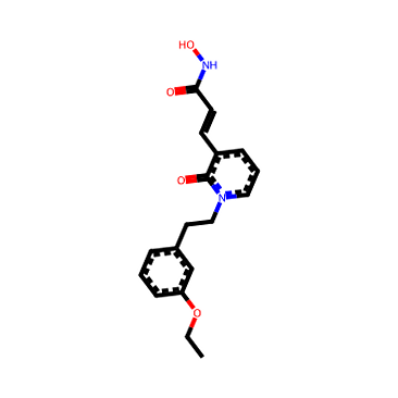 CCOc1cccc(CCn2cccc(/C=C/C(=O)NO)c2=O)c1